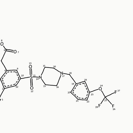 C#Cc1cc(CC(=O)O)cc(S(=O)(=O)N2CCN(Cc3cccc(OC(F)(F)F)c3)CC2)c1